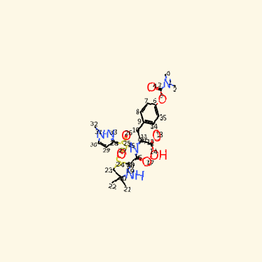 CN(C)C(=O)Oc1ccc(C[C@@H](C(=O)O)N(C(=O)[C@H]2NC(C)(C)CS2)S(=O)(=O)c2ccn(C)n2)cc1